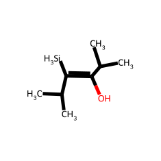 CC(C)C(O)=C([SiH3])C(C)C